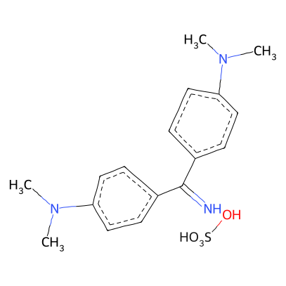 CN(C)c1ccc(C(=N)c2ccc(N(C)C)cc2)cc1.O=S(=O)(O)O